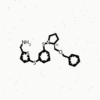 NCc1ccc(Sc2cccc(SN3CCC[C@H]3COCc3ccccc3)c2)s1